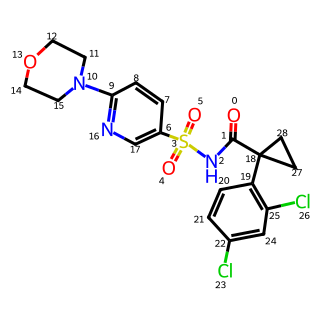 O=C(NS(=O)(=O)c1ccc(N2CCOCC2)nc1)C1(c2ccc(Cl)cc2Cl)CC1